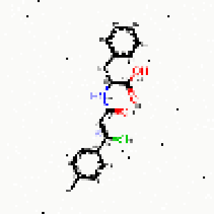 Cc1ccc(/C(Cl)=C/C(=O)NC(Cc2ccccc2)C(=O)O)cc1